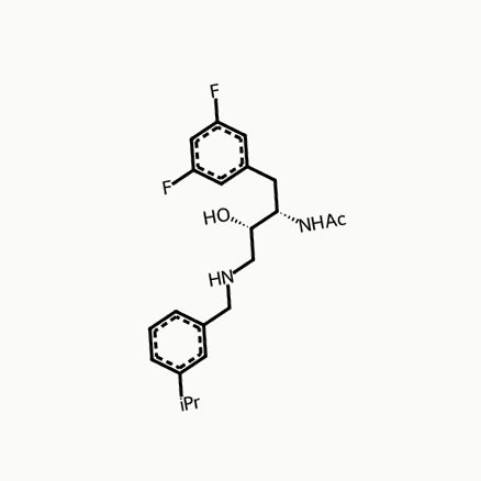 CC(=O)N[C@@H](Cc1cc(F)cc(F)c1)[C@@H](O)CNCc1cccc(C(C)C)c1